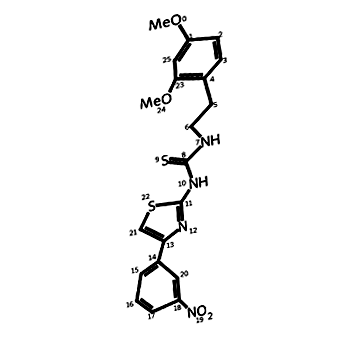 COc1ccc(CCNC(=S)Nc2nc(-c3cccc([N+](=O)[O-])c3)cs2)c(OC)c1